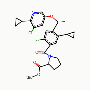 C[C@@H](Oc1cnc(C2CC2)c(Cl)c1)c1cc(F)c(C(=O)N2CCCC2C(=O)OC(C)(C)C)cc1C1CC1